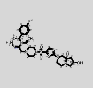 C=CN(/C(CN1CCN(S(=O)(=O)c2cnc(N3CCN4C[C@H](O)C[C@H]4C3)s2)CC1)=N\N)[C@H](C)c1ccc(F)cc1